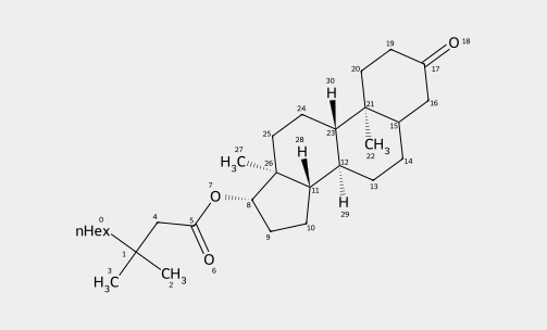 CCCCCCC(C)(C)CC(=O)O[C@H]1CC[C@H]2[C@@H]3CCC4CC(=O)CC[C@]4(C)[C@H]3CC[C@]12C